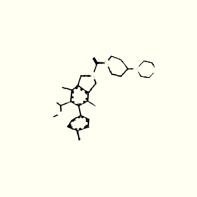 Cc1ccc(-c2c(C)c3c(c(C)c2C(OC(C)(C)C)C(=O)O)CN(C(=O)N2CCC(N4CCOCC4)CC2)C3)cc1